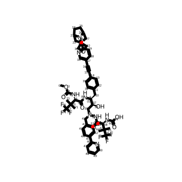 COC(=O)N[C@H](C(=O)N[C@@H](Cc1ccc(C#Cc2ccc(N3CC4CCC(C3)N4C3COC3)nc2)cc1)[C@@H](O)CN(Cc1ccc(-c2ccccn2)cc1Cl)NC(=O)[C@@H](NC(=O)O)C(C)(C)C(F)(F)F)C(C)(C)C(F)(F)F